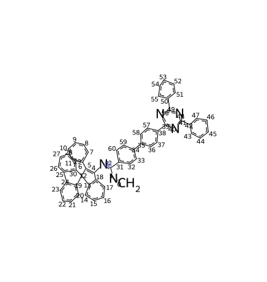 C=N/C(=N\C1=C(c2ccccc2)C2(c3ccccc31)c1ccccc1-c1ccccc12)c1ccc(-c2ccc(-c3nc(-c4ccccc4)nc(-c4ccccc4)n3)cc2)cc1